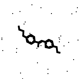 CCCCc1ccc(C(C)=Cc2ccc(CCC)cc2)cc1